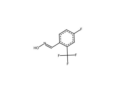 ON=Cc1ccc(F)cc1C(F)(F)F